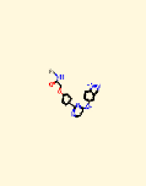 CC(C)NC(=O)COc1ccc(-c2nccc(Nc3ccc4[nH]ncc4c3)n2)cc1